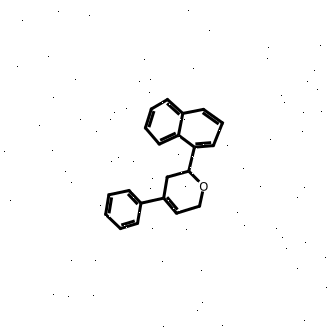 C1=C(c2ccccc2)CC(c2cccc3ccccc23)OC1